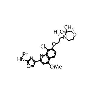 COc1cc(-c2coc(NC(C)C)n2)nc2c(Cl)c(OCCN3CCOCC3(C)C)ccc12